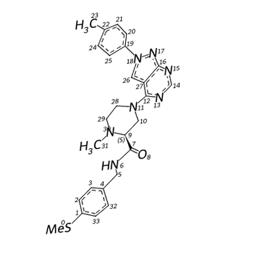 CSc1ccc(CNC(=O)[C@@H]2CN(c3ncnc4nn(-c5ccc(C)cc5)cc34)CCN2C)cc1